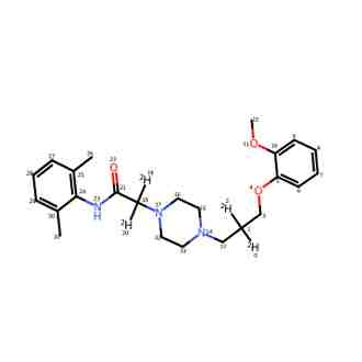 [2H]C([2H])(COc1ccccc1OC)CN1CCN(C([2H])([2H])C(=O)Nc2c(C)cccc2C)CC1